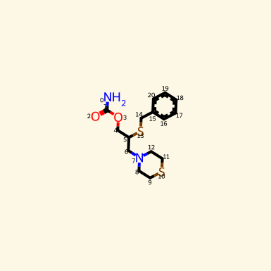 NC(=O)OCC(CN1CCSCC1)SCc1ccccc1